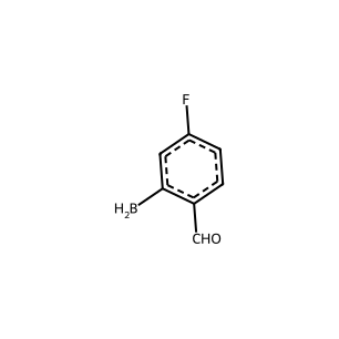 Bc1cc(F)ccc1C=O